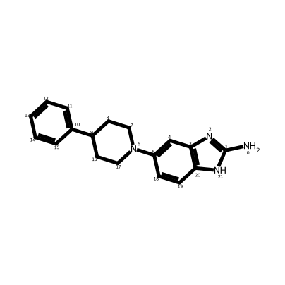 Nc1nc2cc(N3CCC(c4ccccc4)CC3)ccc2[nH]1